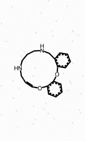 C1=C\Oc2ccccc2Oc2ccccc2CNCCCNC/1